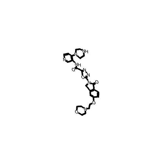 O=C(Nc1cnccc1N1CCNCC1)c1nnc(N2Cc3cc(OCCN4CCOCC4)ccc3C2=O)o1